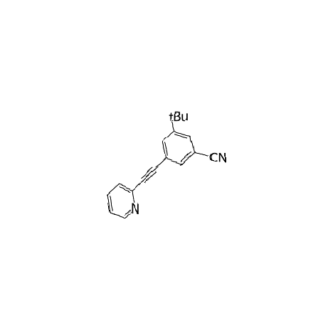 CC(C)(C)c1cc(C#N)cc(C#Cc2ccccn2)c1